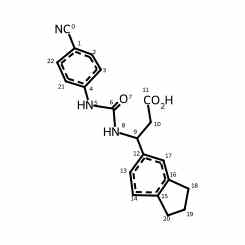 N#Cc1ccc(NC(=O)NC(CC(=O)O)c2ccc3c(c2)CCC3)cc1